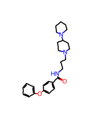 O=C(NCCCN1CCC(N2CCCCC2)CC1)c1ccc(Oc2ccccc2)cc1